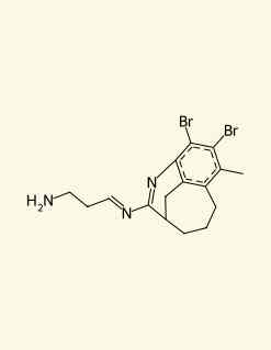 Cc1c(Br)c(Br)c2c3c1CCCC(C3)C(/N=C/CCN)=N2